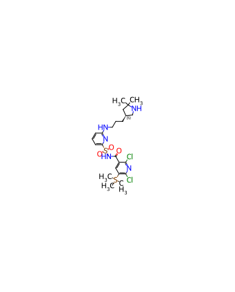 CC1(C)C[C@H](CCCNc2cccc(S(=O)(=O)NC(=O)c3cc(S(C)(C)C)c(Cl)nc3Cl)n2)CN1